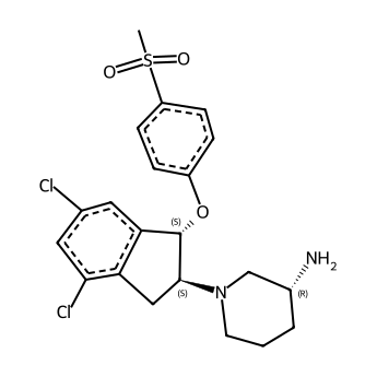 CS(=O)(=O)c1ccc(O[C@H]2c3cc(Cl)cc(Cl)c3C[C@@H]2N2CCC[C@@H](N)C2)cc1